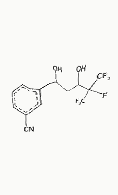 N#Cc1cccc(C(O)CC(O)C(F)(C(F)(F)F)C(F)(F)F)c1